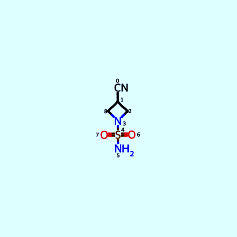 N#CC1CN(S(N)(=O)=O)C1